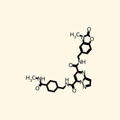 CNC(=O)C1CCC(CNC(=O)c2cc(C(=O)NCc3ccc4oc(=O)n(C)c4c3)nc3ccnn23)CC1